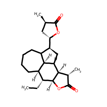 CC[C@@H]1[C@H]2CCCCC3[C@H]2[C@@H](C[C@@H]3[C@@H]2C[C@@H](C)C(=O)O2)[C@@H]2[C@H]1OC(=O)[C@H]2C